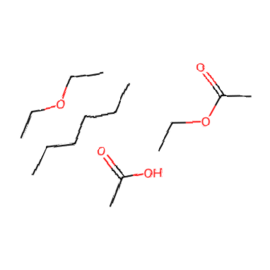 CC(=O)O.CCCCCC.CCOC(C)=O.CCOCC